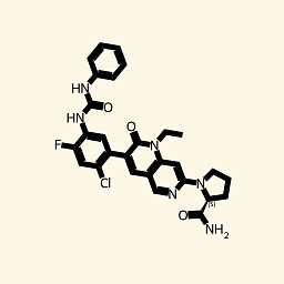 CCn1c(=O)c(-c2cc(NC(=O)Nc3ccccc3)c(F)cc2Cl)cc2cnc(N3CCC[C@H]3C(N)=O)cc21